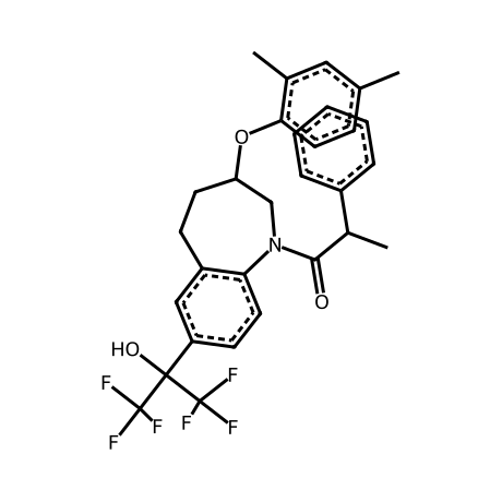 Cc1ccc(OC2CCc3cc(C(O)(C(F)(F)F)C(F)(F)F)ccc3N(C(=O)C(C)c3ccccc3)C2)c(C)c1